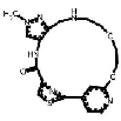 Cn1cc2c(n1)CNCCOCCOc1cc(ccn1)-c1nc(cs1)C(=O)N2